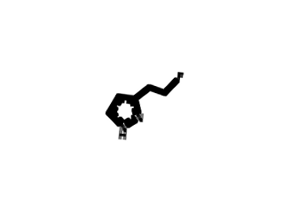 FCCc1cc[nH]n1